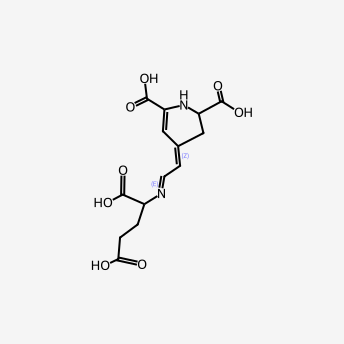 O=C(O)CCC(/N=C/C=C1\C=C(C(=O)O)NC(C(=O)O)C1)C(=O)O